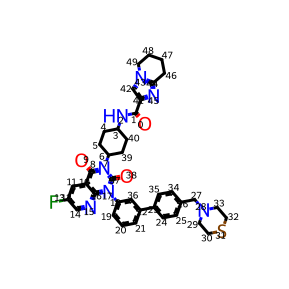 O=C(NC1CCC(n2c(=O)c3cc(F)cnc3n(-c3cccc(-c4ccc(CN5CCSCC5)cc4)c3)c2=O)CC1)c1cn2c(n1)CCCC2